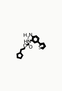 Nc1ccc(-c2cccs2)cc1NC(=O)OCCC1CCCC1